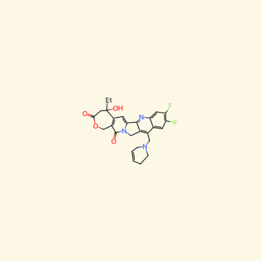 CCC1(O)CC(=O)OCc2c1cc1n(c2=O)Cc2c-1nc1cc(F)c(F)cc1c2CN1CC=CCC1